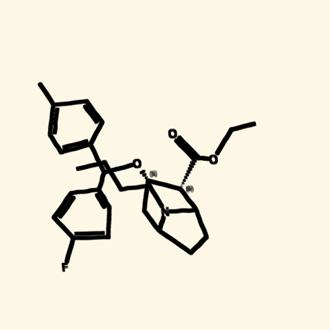 CCCCN1C2CCC1[C@@H](C(=O)OCC)[C@@H](OC(c1ccc(C)cc1)c1ccc(F)cc1)C2